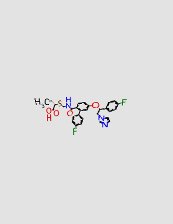 CC[C@H](SCNC(=O)c1ccc(OC(Cn2ccnc2)c2ccc(F)cc2)cc1-c1ccc(F)cc1)C(=O)O